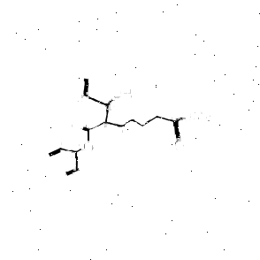 C=CC(C=C)OC(=O)C(CCCCC(=O)OC)C(O)C=C